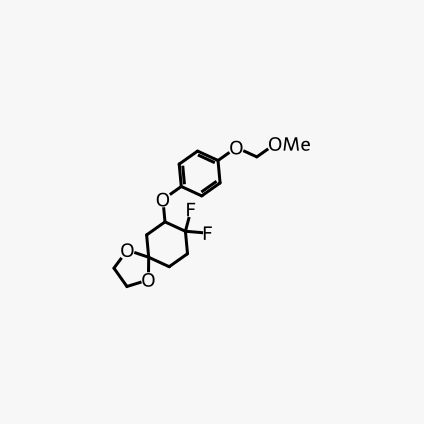 COCOc1ccc(OC2CC3(CCC2(F)F)OCCO3)cc1